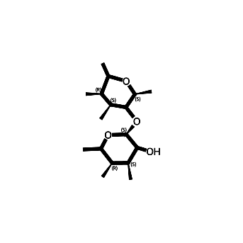 CC1O[C@@H](OC2[C@H](C)OC(C)[C@H](C)[C@@H]2C)C(O)[C@@H](C)[C@H]1C